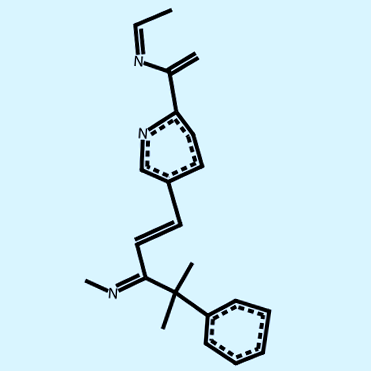 C=C(/N=C\C)c1ccc(/C=C/C(=N\C)C(C)(C)c2ccccc2)cn1